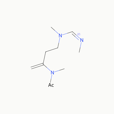 C=C(CCN(C)/C=N\C)N(C)C(C)=O